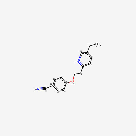 CCc1ccc(CCOc2ccc(C#N)cc2)nc1